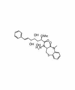 CO[C@@H](C(=O)N(N)C1CSc2ccccc2N(C)C1=O)[C@H](O)[C@@H](O)[C@H](O)/C=C/c1ccccc1